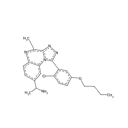 CCCCOc1ccc(Cl)c(-c2nnc3c(C)nc4ccc(C(C)N)cc4n23)c1